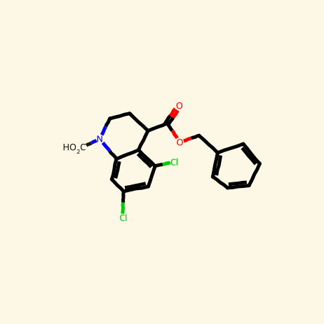 O=C(OCc1ccccc1)C1CCN(C(=O)O)c2cc(Cl)cc(Cl)c21